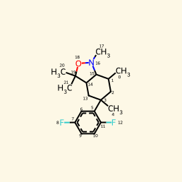 CC1CC(C)(c2cc(F)ccc2F)CC2C1N(C)OC2(C)C